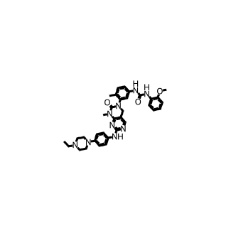 CCN1CCN(c2ccc(Nc3ncc4c(n3)N(C)C(=O)N(c3cc(NC(=O)Nc5ccccc5OC)ccc3C)C4)cc2)CC1